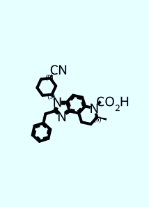 C[C@H]1CCc2c(ccc3c2nc(Cc2ccccc2)n3[C@H]2CCC[C@@H](C#N)C2)N1C(=O)O